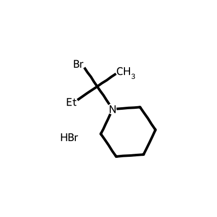 Br.CCC(C)(Br)N1CCCCC1